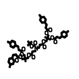 CC1CCC(CCC(=O)OCC(C)(COC(=O)CCC2CCC(C)CC2)COC(=O)CCN(CCC(=O)OCC(C)(COC(=O)CCC2CCC(C)CC2)COC(=O)CCC2CCC(C)CC2)C(=O)OC(C)(C)C)CC1